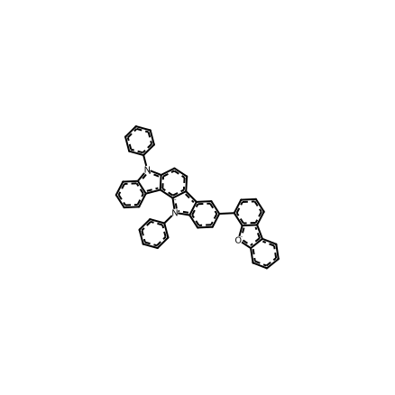 c1ccc(-n2c3ccccc3c3c2ccc2c4cc(-c5cccc6c5oc5ccccc56)ccc4n(-c4ccccc4)c23)cc1